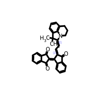 CC1(C)/C(=C\C=C2/C(=O)c3ccccc3C2=C2C(=O)c3ccccc3C2=O)N2CCCc3cccc1c32